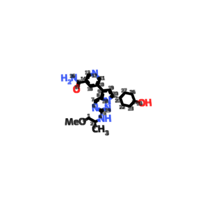 COC[C@H](C)Nc1ncc2c(-c3cncc(C(N)=O)c3)cc([C@H]3CC[C@H](O)CC3)n2n1